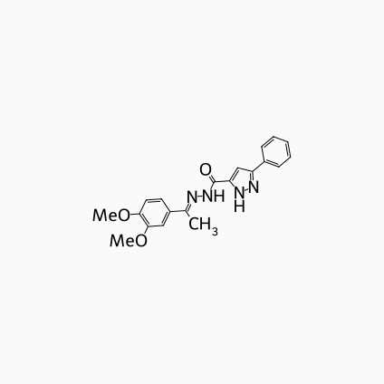 COc1ccc(C(C)=NNC(=O)c2cc(-c3ccccc3)n[nH]2)cc1OC